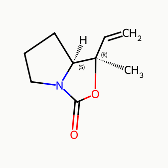 C=C[C@@]1(C)OC(=O)N2CCC[C@H]21